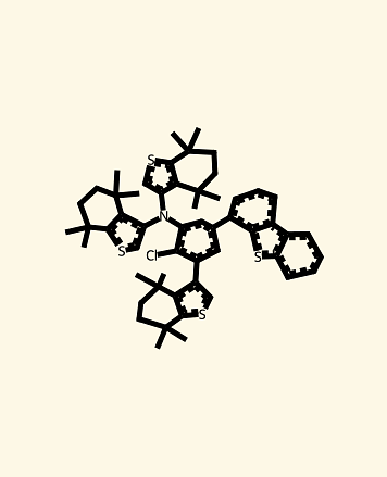 CC1(C)CCC(C)(C)c2c(-c3cc(-c4cccc5c4sc4ccccc45)cc(N(c4csc5c4C(C)(C)CCC5(C)C)c4csc5c4C(C)(C)CCC5(C)C)c3Cl)csc21